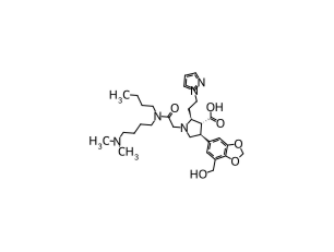 CCCCN(CCCCN(C)C)C(=O)CN1C[C@H](c2cc(CO)c3c(c2)OCO3)[C@@H](C(=O)O)[C@@H]1CCn1cccn1